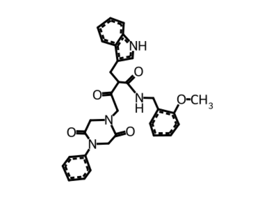 COc1ccccc1CNC(=O)C(Cc1c[nH]c2ccccc12)C(=O)CN1CC(=O)N(c2ccccc2)CC1=O